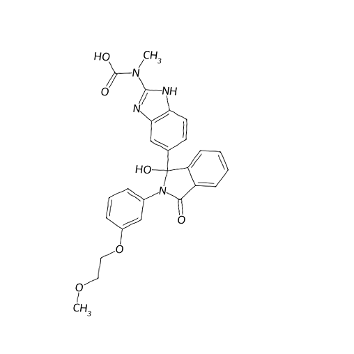 COCCOc1cccc(N2C(=O)c3ccccc3C2(O)c2ccc3[nH]c(N(C)C(=O)O)nc3c2)c1